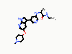 CC(C)C(Nc1cncc(-c2c[nH]c3ncc(OC4CCN(C)CC4)cc23)c1)C(=O)NCC(F)(F)F